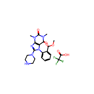 COC(=O)c1ccccc1-n1c(N2CCNCC2)nc2c1c(=O)n(C)c(=O)n2C.O=C(O)C(F)(F)F